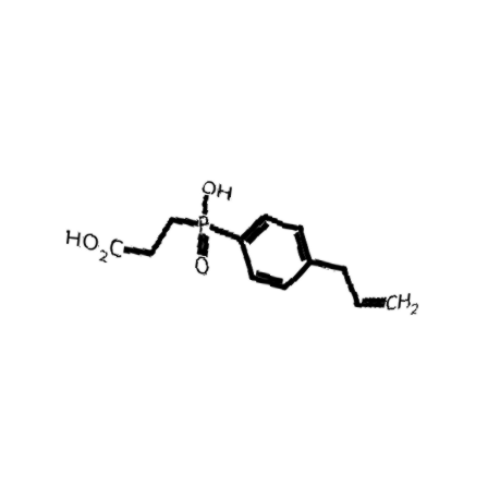 C=CCc1ccc(P(=O)(O)CCC(=O)O)cc1